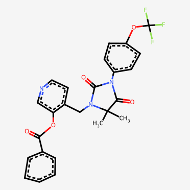 CC1(C)C(=O)N(c2ccc(OC(F)(F)F)cc2)C(=O)N1Cc1ccncc1OC(=O)c1ccccc1